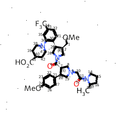 COC[C@H]1CN(C(=O)[C@@H]2CN(CC(=O)N3CCC[C@H]3C)C[C@H]2c2ccc(OC)cc2)C[C@@H]1c1ccc(C(F)(F)F)cc1N1CCC(C(=O)O)CC1